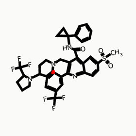 CS(=O)(=O)c1ccc2nc(-c3cccc(C(F)(F)F)c3)c(CN3CCC(N4CCCC4C(F)(F)F)CC3)c(C(=O)NC3(c4ccccc4)CC3)c2c1